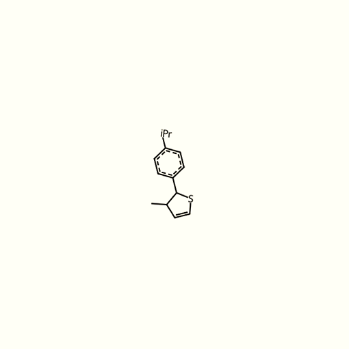 CC(C)c1ccc(C2SC=CC2C)cc1